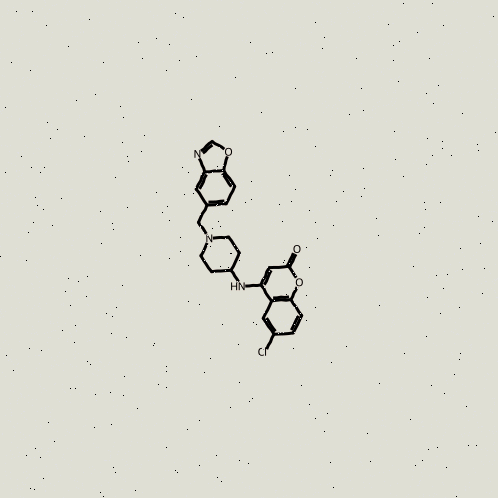 O=c1cc(NC2CCN(Cc3ccc4ocnc4c3)CC2)c2cc(Cl)ccc2o1